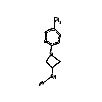 Cc1ccc(N2CC(NC(C)C)C2)nc1